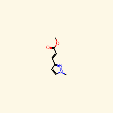 COC(=O)/C=C/c1ccn(C)n1